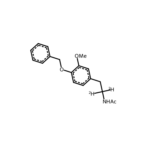 [2H]C([2H])(Cc1ccc(OCc2ccccc2)c(OC)c1)NC(C)=O